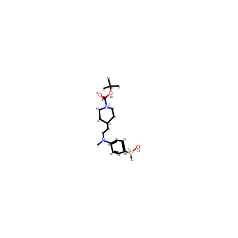 CN(CCC1CCN(C(=O)OC(C)(C)C)CC1)c1ccc([S+](C)[O-])cc1